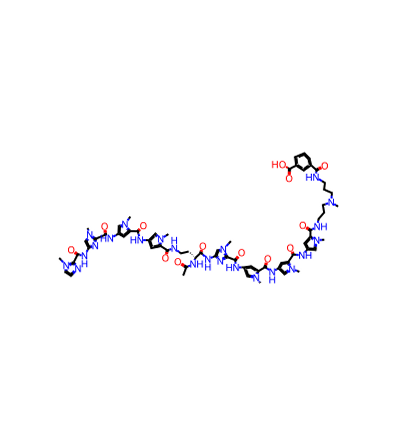 CC(=O)N[C@H](CCNC(=O)c1cc(NC(=O)c2cc(NC(=O)c3nc(NC(=O)c4nccn4C)cn3C)cn2C)cn1C)C(=O)Nc1cn(C)c(C(=O)Nc2cc(C(=O)Nc3cc(C(=O)Nc4cc(C(=O)NCCCN(C)CCCNC(=O)c5cccc(C(=O)O)c5)n(C)c4)n(C)c3)n(C)c2)n1